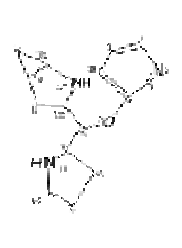 c1cncc(OC(C2CCCN2)C2CC3CC3N2)c1